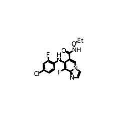 CCONC(=O)c1cn2ccnc2c(F)c1Nc1ccc(Cl)cc1F